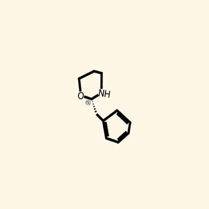 c1ccc(C[C@H]2NCCCO2)cc1